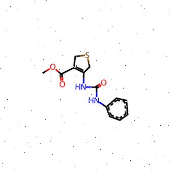 COC(=O)C1=C(NC(=O)Nc2ccccc2)CSC1